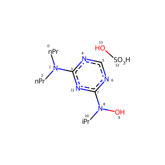 CCCN(CCC)c1ncnc(N(O)C(C)C)n1.O=S(=O)(O)O